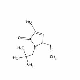 CCC1C=C(O)C(=O)N1CC(C)(C)O